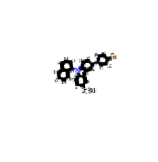 CC(C)(C)c1ccc2c(c1)c1cc(-c3ccc(Br)cc3)ccc1n2-c1cccc2ccccc12